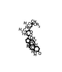 CC(NC(=O)[C@@H]1CC[C@@H]2[C@H]3CC[C@H]4NC(=O)CC[C@]4(C)[C@@H]3CC[C@]21C)C(=O)NCC(C)(C)C